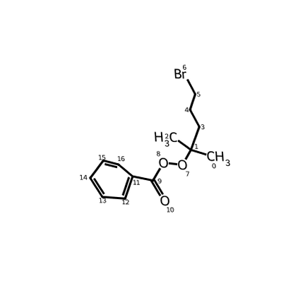 CC(C)(CCCBr)OOC(=O)c1ccccc1